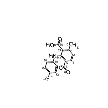 Cc1ccc(C(=O)O)c(Nc2ccc(F)cc2)c1C(=O)O